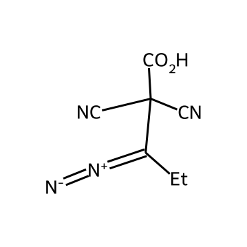 CCC(=[N+]=[N-])C(C#N)(C#N)C(=O)O